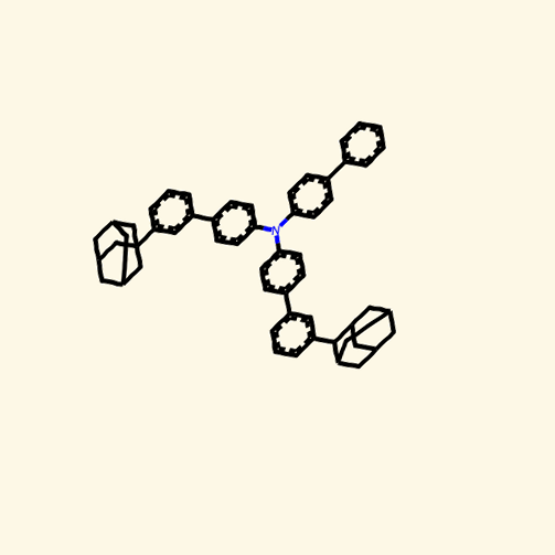 c1ccc(-c2ccc(N(c3ccc(-c4cccc(C5C6CC7CC(C6)CC5C7)c4)cc3)c3ccc(-c4cccc(C56CC7CC(CC(C7)C5)C6)c4)cc3)cc2)cc1